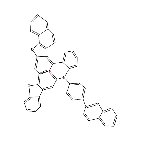 c1ccc(N(c2ccc(-c3ccc4ccccc4c3)cc2)c2ccc3oc4ccccc4c3c2)c(-c2cccc3oc4c5ccccc5ccc4c23)c1